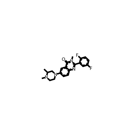 CC1CN(c2ccc3nc(-c4cc(F)ccc4F)n(C)c(=O)c3c2)CCN1C